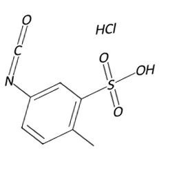 Cc1ccc(N=C=O)cc1S(=O)(=O)O.Cl